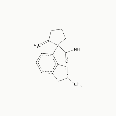 C=C1CCCC1(C([NH])=O)c1cccc2c1C=C(C)C2